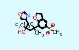 CC(C)(CC(O)(CC1COC=N1)C(F)(F)F)c1cc(S(C)(=O)=O)cc2c1OCC2